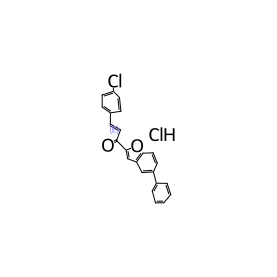 Cl.O=C(/C=C/c1ccc(Cl)cc1)c1cc2cc(-c3ccccc3)ccc2o1